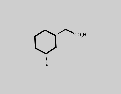 C[C@@H]1CCC[C@H](CC(=O)O)C1